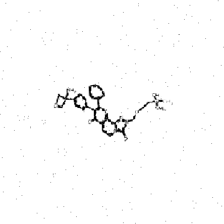 C[Si](C)(C)CCOCn1nc2c3oc(-c4ccccc4)c(-c4ccc(C5(N)COC5)cc4)c(=O)c3ccn2c1=O